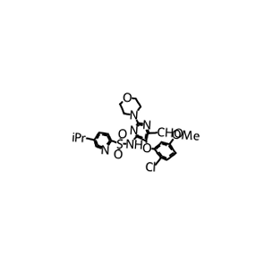 COc1ccc(Cl)c(Oc2c(C=O)nc(N3CCOCC3)nc2NS(=O)(=O)c2ccc(C(C)C)cn2)c1